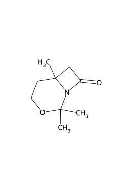 CC12CCOC(C)(C)N1C(=O)C2